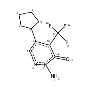 Nn1ncc(C2CCCC2)c(C(F)(F)F)c1=O